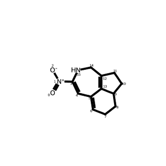 O=[N+]([O-])C1=CC2=CCCC3CCC(=C23)CN1